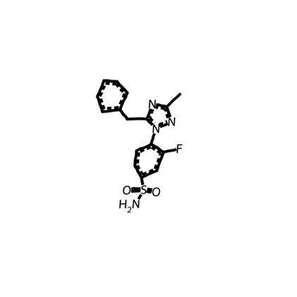 Cc1nc(Cc2ccccc2)n(-c2ccc(S(N)(=O)=O)cc2F)n1